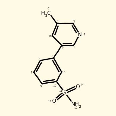 Cc1cncc(-c2cccc(S(N)(=O)=O)c2)c1